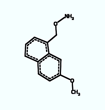 COc1ccc2cccc(CON)c2c1